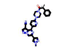 C[C@H](C(=O)N1CCN(c2ccc(-c3nc(-c4cnn(C)c4)cn4ncc(C#N)c34)cn2)CC1)c1ccccc1